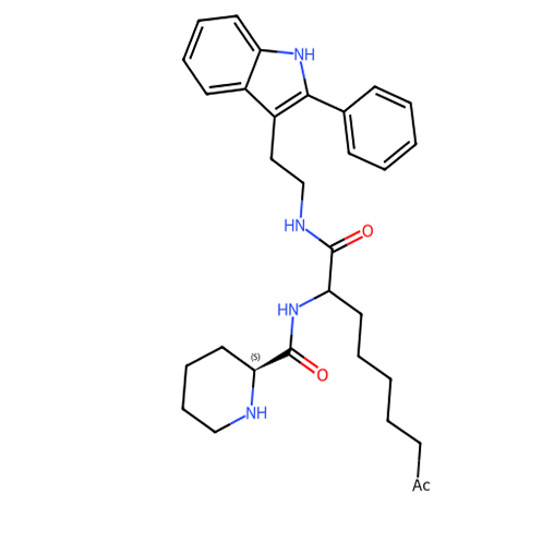 CC(=O)CCCCCC(NC(=O)[C@@H]1CCCCN1)C(=O)NCCc1c(-c2ccccc2)[nH]c2ccccc12